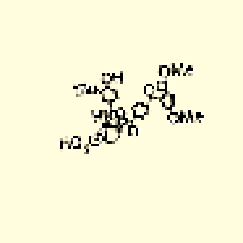 COCOc1ccc(OC)cc1C(=O)c1ccc(C(=O)O[C@@H]2CCCN(C(=O)O)C[C@H]2NC(=O)c2ccc(O)c(C(C)(C)C)c2)cc1